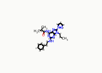 CCCn1c(-n2cccn2)nc2c(NC(=O)C(C)C)nc(NCCc3ccccc3)nc21